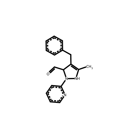 CC1=C(Cc2ccccc2)C(C=O)N(c2ccccn2)N1